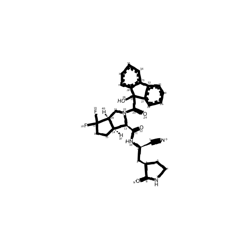 N#C[C@@H](C[C@H]1CCNC1=O)NC(=O)[C@H]1[C@H]2CCC(F)(F)[C@H]2CN1C(=O)C1(O)c2ccccc2-c2ccccc21